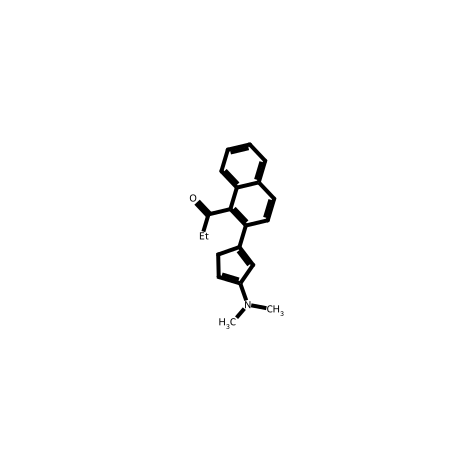 CCC(=O)c1c(C2=CC(N(C)C)=CC2)ccc2ccccc12